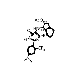 CCc1nc(-c2ccc(N(C)C)cc2C(F)(F)F)n(CC)c(=O)c1N[C@@H]1c2ccccc2C[C@@H]1OC(C)=O